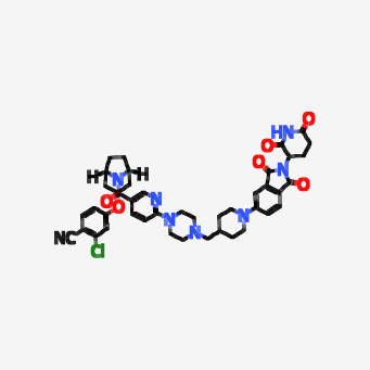 N#Cc1ccc(O[C@H]2C[C@H]3CC[C@@H](C2)N3C(=O)c2ccc(N3CCN(CC4CCN(c5ccc6c(c5)C(=O)N(C5CCC(=O)NC5=O)C6=O)CC4)CC3)nc2)cc1Cl